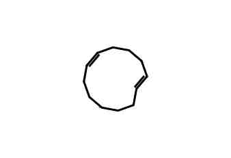 [CH]1CC/C=C\CCC/C=C/CC1